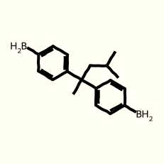 Bc1ccc(C(C)(CC(C)C)c2ccc(B)cc2)cc1